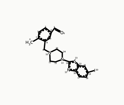 Cc1ccc(C=O)cc1CN1CCN(c2nc3ccc(I)cc3s2)CC1